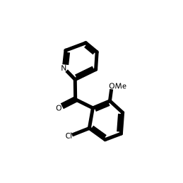 COc1cccc(Cl)c1C(=O)c1ccccn1